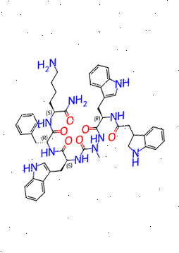 CN(NC(=O)[C@@H](Cc1c[nH]c2ccccc12)NC(=O)CC1CNc2ccccc21)C(=O)N[C@@H](Cc1c[nH]c2ccccc12)C(=O)N[C@H](Cc1ccccc1)C(=O)N[C@@H](CCCCN)C(N)=O